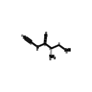 N#CSC(=O)[C@@H](N)C[SeH]